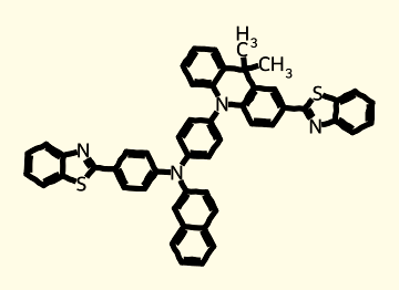 CC1(C)c2ccccc2N(c2ccc(N(c3ccc(-c4nc5ccccc5s4)cc3)c3ccc4ccccc4c3)cc2)c2ccc(-c3nc4ccccc4s3)cc21